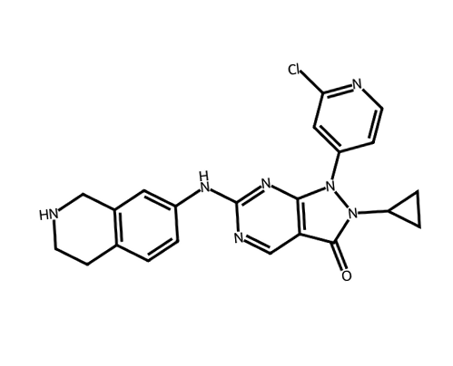 O=c1c2cnc(Nc3ccc4c(c3)CNCC4)nc2n(-c2ccnc(Cl)c2)n1C1CC1